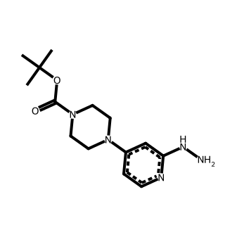 CC(C)(C)OC(=O)N1CCN(c2ccnc(NN)c2)CC1